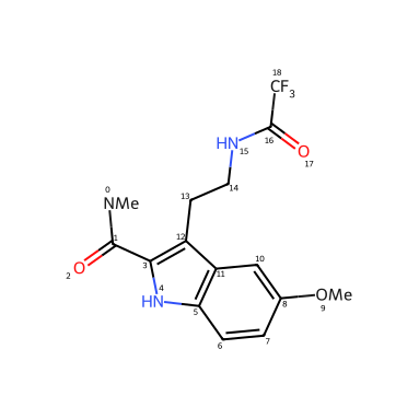 CNC(=O)c1[nH]c2ccc(OC)cc2c1CCNC(=O)C(F)(F)F